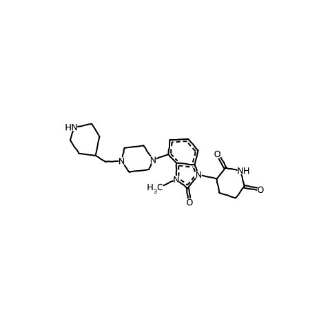 Cn1c(=O)n(C2CCC(=O)NC2=O)c2cccc(N3CCN(CC4CCNCC4)CC3)c21